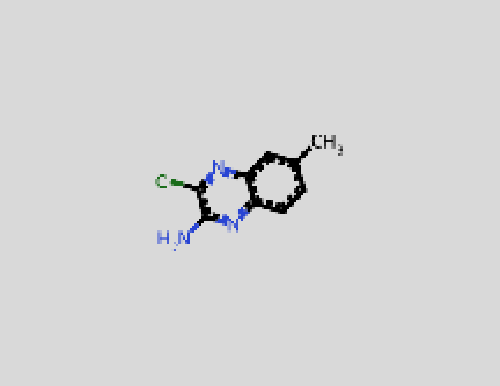 Cc1ccc2nc(N)c(Cl)nc2c1